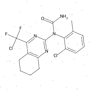 Cc1cccc(Cl)c1N(C(N)=O)c1nc2c(c(C(F)(F)Cl)n1)CCCC2